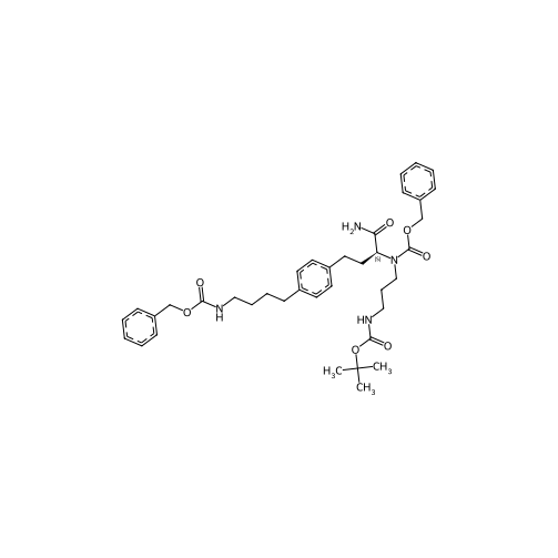 CC(C)(C)OC(=O)NCCCN(C(=O)OCc1ccccc1)[C@@H](CCc1ccc(CCCCNC(=O)OCc2ccccc2)cc1)C(N)=O